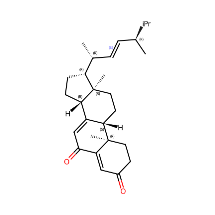 CC(C)[C@@H](C)/C=C/[C@@H](C)[C@H]1CC[C@H]2C3=CC(=O)C4=CC(=O)CC[C@]4(C)[C@H]3CC[C@]12C